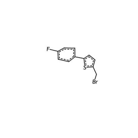 Fc1ccc(-c2ccc(CBr)s2)cc1